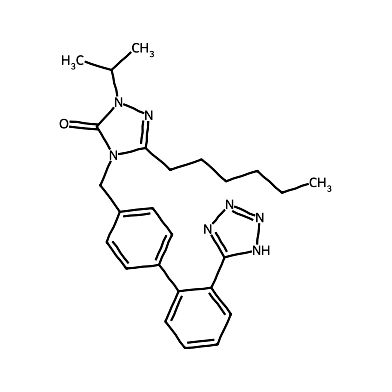 CCCCCCc1nn(C(C)C)c(=O)n1Cc1ccc(-c2ccccc2-c2nnn[nH]2)cc1